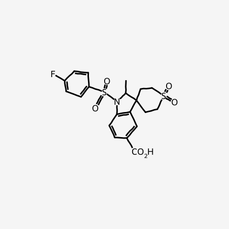 CC1N(S(=O)(=O)c2ccc(F)cc2)c2ccc(C(=O)O)cc2C12CCS(=O)(=O)CC2